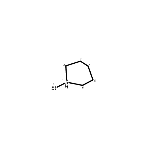 CC[SH]1CCCCC1